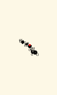 O=C(COC1CC(OC(F)(F)F)C1)NC12CCC(NC(=O)[C@H]3CC(=O)c4cc(Cl)ccc4O3)(C1)C2